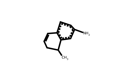 CC1CC=Cc2ccc(N)cc21